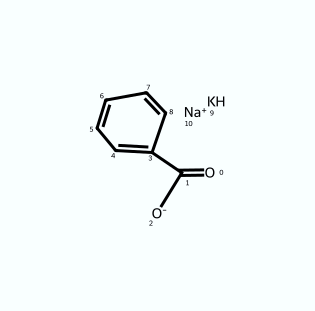 O=C([O-])c1ccccc1.[KH].[Na+]